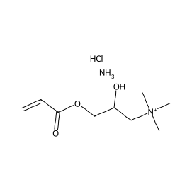 C=CC(=O)OCC(O)C[N+](C)(C)C.Cl.N